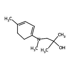 CC1=CC=C(N(C)CC(C)(C)O)CC1